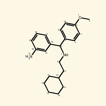 COc1ccc(C(NCCC2CCCCC2)c2cccc(N)c2)cc1